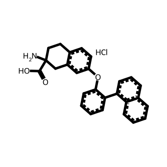 Cl.NC1(C(=O)O)CCc2ccc(Oc3ccccc3-c3cccc4ccccc34)cc2C1